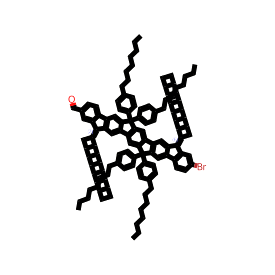 CCCCCCCCc1ccc(C2(c3ccc(CCCCCCCC)cc3)c3cc4c(cc3-c3cc5c(cc32)-c2cc3c(cc2C5(c2ccc(CCCCCCCC)cc2)c2ccc(CCCCCCCC)cc2)-c2ccc(Br)cc2/C3=C2\CC3C2C2C3C3C5C6C7CCC7C6C5C23)/C(=C2/CC3C2C2C3C3C5C6C7CCC7C6C5C23)c2cc(C=O)ccc2-4)cc1